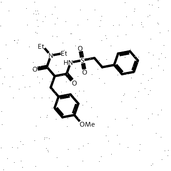 CCN(CC)C(=O)C(Cc1ccc(OC)cc1)C(=O)NS(=O)(=O)CCc1ccccc1